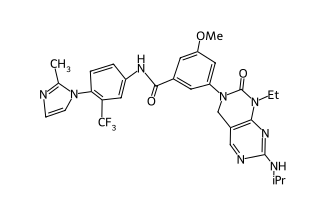 CCN1C(=O)N(c2cc(OC)cc(C(=O)Nc3ccc(-n4ccnc4C)c(C(F)(F)F)c3)c2)Cc2cnc(NC(C)C)nc21